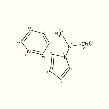 CN(C=O)n1cccc1.c1ccncc1